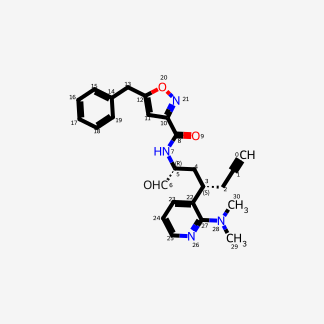 C#CC[C@@H](C[C@H](C=O)NC(=O)c1cc(Cc2ccccc2)on1)c1cccnc1N(C)C